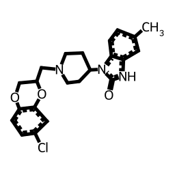 Cc1ccc2c(c1)[nH]c(=O)n2C1CCN(CC2COc3ccc(Cl)cc3O2)CC1